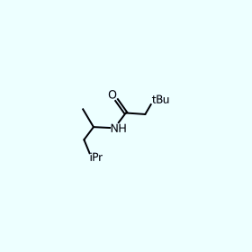 CC(C)CC(C)NC(=O)CC(C)(C)C